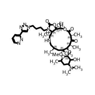 CC[C@H]1OC(=O)[C@H](C)C(=O)[C@H](C)[C@@H](O[C@@H]2OC(C)CC(N(C)C)C2O)[C@](C)(OC)C[C@@H](C)CN[C@H](C)[C@H]2N(CCCCn3cc(-c4cccnn4)nn3)C(=O)O[C@]12C